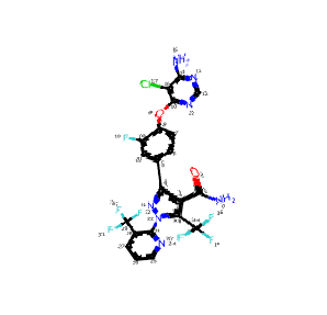 NC(=O)c1c(-c2ccc(Oc3ncnc(N)c3Cl)c(F)c2)nn(-c2ncccc2C(F)(F)F)c1C(F)(F)F